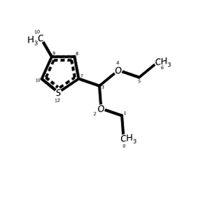 CCOC(OCC)c1cc(C)cs1